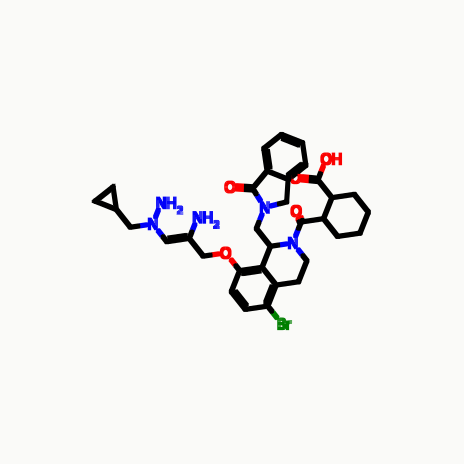 N/C(=C\N(N)CC1CC1)COc1ccc(Br)c2c1C(CN1Cc3ccccc3C1=O)N(C(=O)C1CCCCC1C(=O)O)CC2